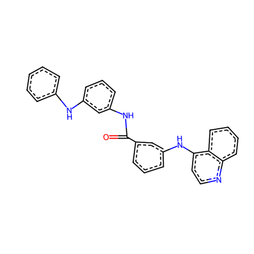 O=C(Nc1cccc(Nc2ccccc2)c1)c1cccc(Nc2ccnc3ccccc23)c1